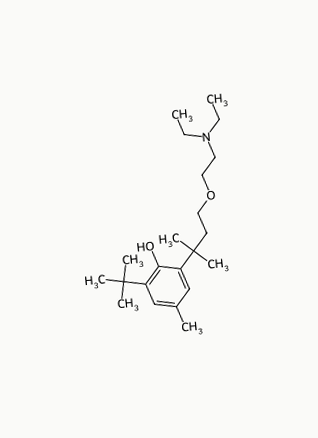 CCN(CC)CCOCCC(C)(C)c1cc(C)cc(C(C)(C)C)c1O